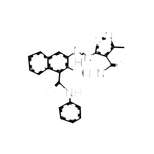 Cc1nsc(/N=N/c2cc3ccccc3c(C(=O)Nc3ccccc3)c2O)c1C(N)=O